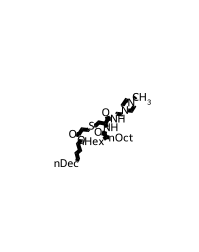 CCCCCCCCCCCCCCOC(=O)CCSCCC(NC(=O)C(CCCCCC)CCCCCCCC)C(=O)NCCN1CCN(C)CC1